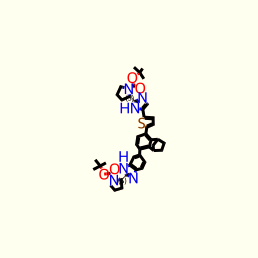 CC(C)(C)OC(=O)N1CCC[C@H]1c1ncc(-c2ccc(-c3ccc(-c4ccc5nc([C@@H]6CCCN6C(=O)OC(C)(C)C)[nH]c5c4)c4c3C3CCC4C3)s2)[nH]1